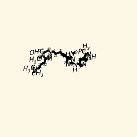 CCCNc1nc(Nc2cnc3[nH]nc(C)c3c2)ncc1C#CCCCNCC(C=O)N(C)C(=O)/C=C/CN(C)C